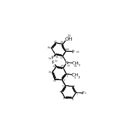 Cc1c(-c2cccc(F)c2)ccc(F)c1N(C)c1c(F)ccc(O)c1F